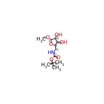 COC1OC(CNC(=O)OC(C)(C)C)C(O)C1O